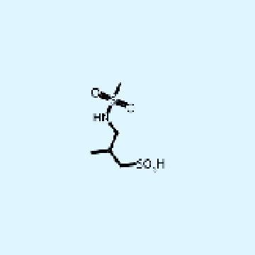 CC(CNS(C)(=O)=O)CS(=O)(=O)O